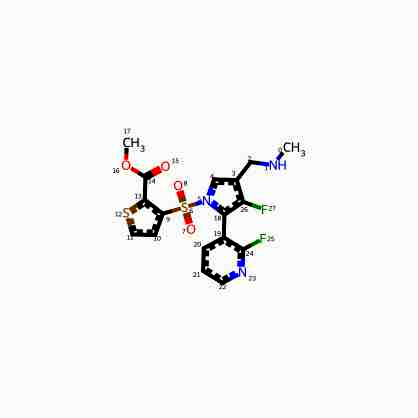 CNCc1cn(S(=O)(=O)c2ccsc2C(=O)OC)c(-c2cccnc2F)c1F